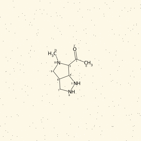 CC(=O)C1C2NNCC2CN1C